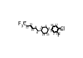 Fc1cc([C@H]2CC[C@H](CCC=CCC(F)(F)F)CC2)ccc1Cl